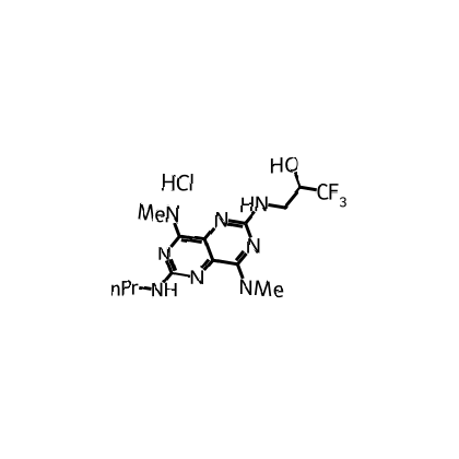 CCCNc1nc(NC)c2nc(NCC(O)C(F)(F)F)nc(NC)c2n1.Cl